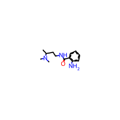 CC(CCNC(=O)c1ccccc1N)N(C)C